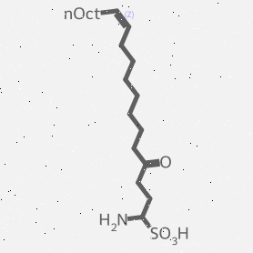 CCCCCCCC/C=C\CCCCCCCC(=O)CCC(N)S(=O)(=O)O